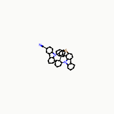 N#Cc1ccc2c(c1)c1ccccc1n2-c1ccccc1-c1ccccc1-n1c2ccccc2c2ccc3sc4ccccc4c3c21